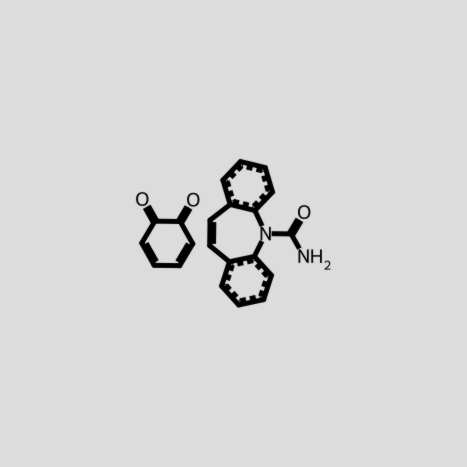 NC(=O)N1c2ccccc2C=Cc2ccccc21.O=C1C=CC=CC1=O